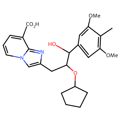 COc1cc(C(O)C(Cc2cn3cccc(C(=O)O)c3n2)OC2CCCC2)cc(OC)c1C